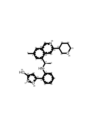 Cc1cc([C@@H](C)Nc2ccccc2-c2cc(O)no2)c2cc(C3CCCOC3)ncc2c1